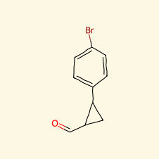 O=CC1CC1c1ccc(Br)cc1